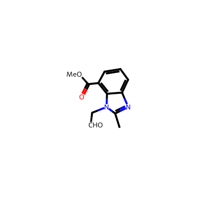 COC(=O)c1cccc2nc(C)n(CC=O)c12